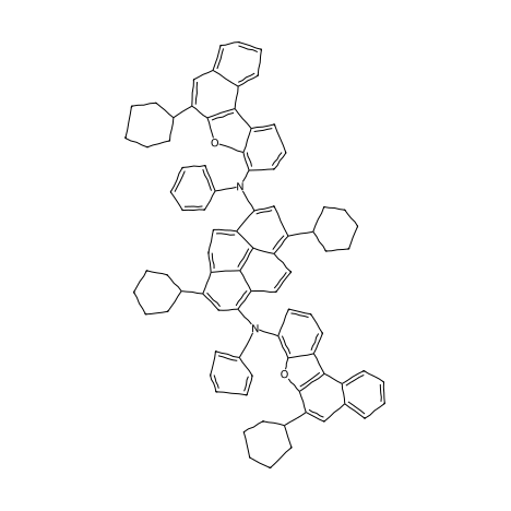 c1ccc(N(c2cc(C3CCCCC3)c3ccc4c(N(c5ccccc5)c5cccc6c5oc5c(C7CCCCC7)cc7ccccc7c56)cc(C5CCCCC5)c5ccc2c3c54)c2cccc3c2oc2c(C4CCCCC4)cc4ccccc4c23)cc1